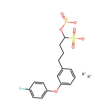 O=[PH]([O-])OC(CCCc1cccc(Oc2ccc(F)cc2)c1)S(=O)(=O)[O-].[K+].[K+]